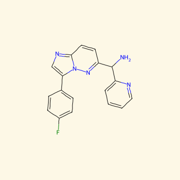 NC(c1ccccn1)c1ccc2ncc(-c3ccc(F)cc3)n2n1